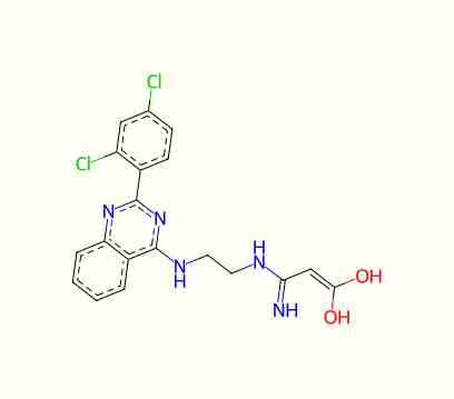 N=C(C=C(O)O)NCCNc1nc(-c2ccc(Cl)cc2Cl)nc2ccccc12